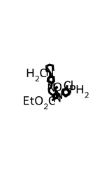 C=C1CCCCN1c1ccc(N2CCc3c(C(=O)OCC)nn(-c4ccc(P)c(Cl)c4)c3C2=O)cc1